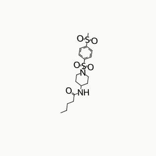 CCCCC(=O)NC1CCN(S(=O)(=O)c2ccc(S(C)(=O)=O)cc2)CC1